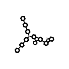 c1ccc(-c2ccc(-c3ccc(N(c4ccc(-c5ccc(-c6ccccc6)cc5)cc4)c4ccc5c(c4)C4(CCCC4)c4cc(-c6cccc7c6oc6ccccc67)ccc4-5)cc3)cc2)cc1